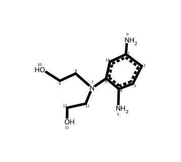 Nc1ccc(N)c(N(CCO)CCO)c1